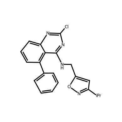 CC(C)c1cc(CNc2nc(Cl)nc3cccc(-c4ccccc4)c23)on1